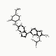 Cc1nc2ccc(-c3ccn4nc(N[C@@H]5CCN(CC(C)C)C[C@@H]5F)ncc34)nc2n1CC(F)F